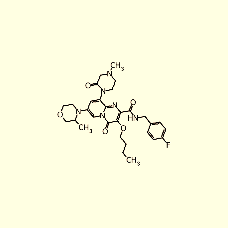 CCCCOc1c(C(=O)NCc2ccc(F)cc2)nc2c(N3CCN(C)CC3=O)cc(N3CCOCC3C)cn2c1=O